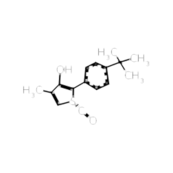 CC1=CS(=C=O)C(c2ccc(C(C)(C)C)cc2)=C1O